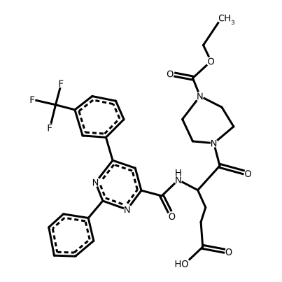 CCOC(=O)N1CCN(C(=O)C(CCC(=O)O)NC(=O)c2cc(-c3cccc(C(F)(F)F)c3)nc(-c3ccccc3)n2)CC1